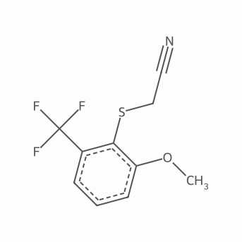 COc1cccc(C(F)(F)F)c1SCC#N